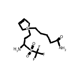 NC(=O)CCCC[Si]1(CCC(N)S(=O)(=O)C(F)(F)F)CC=CC1